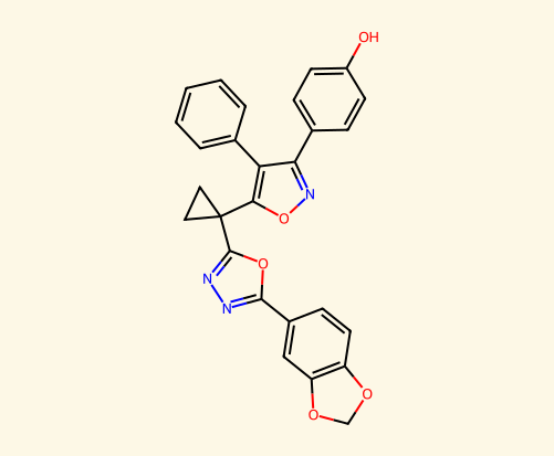 Oc1ccc(-c2noc(C3(c4nnc(-c5ccc6c(c5)OCO6)o4)CC3)c2-c2ccccc2)cc1